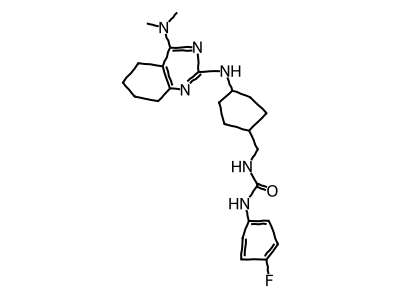 CN(C)c1nc(NC2CCC(CNC(=O)Nc3ccc(F)cc3)CC2)nc2c1CCCC2